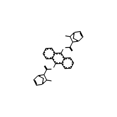 O=C(O)C1C2C=CC(C2)C1C(=O)Oc1c2ccccc2c(OC(=O)C2C3C=CC(C3)C2C(=O)O)c2ccccc12